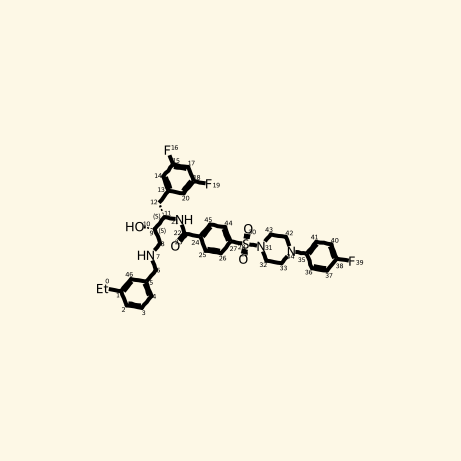 CCc1cccc(CNC[C@H](O)[C@H](Cc2cc(F)cc(F)c2)NC(=O)c2ccc(S(=O)(=O)N3CCN(c4ccc(F)cc4)CC3)cc2)c1